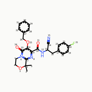 CC1(C)OCCn2c1nc(C(=O)NC(C#N)Cc1ccc(F)cc1)c(OCc1ccccc1)c2=O